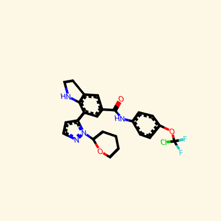 O=C(Nc1ccc(OC(F)(F)Cl)cc1)c1cc2c(c(-c3ccnn3C3CCCCO3)c1)NCC2